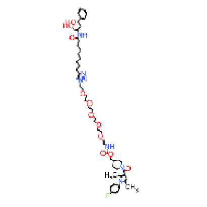 Cc1cc(C(=O)N2CCC(COC(=O)NCCOCCOCCOCCOCCOCCn3cc(CCCCCCCCC(=O)N[C@@H](CO)C[C@H](O)c4ccccc4)nn3)CC2)c(C)n1-c1ccc(F)cc1